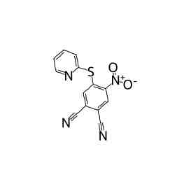 N#Cc1cc(Sc2ccccn2)c([N+](=O)[O-])cc1C#N